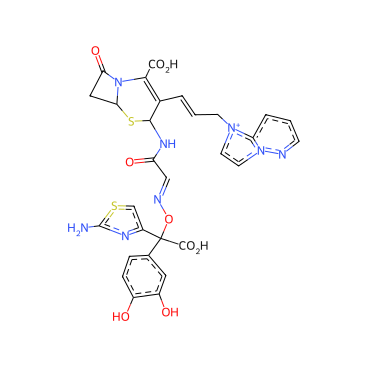 Nc1nc(C(ON=CC(=O)NC2SC3CC(=O)N3C(C(=O)O)=C2C=CC[n+]2ccn3ncccc32)(C(=O)O)c2ccc(O)c(O)c2)cs1